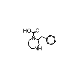 O=C(O)N1CCCNCC1Cc1ccccc1